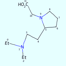 CCN(CC)CCC1CCCN1CC(=O)O